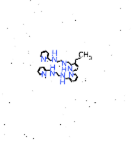 CCCc1cccnc1CNCCNCc1ccccn1.c1ccc(CNCCNCc2ccccn2)nc1